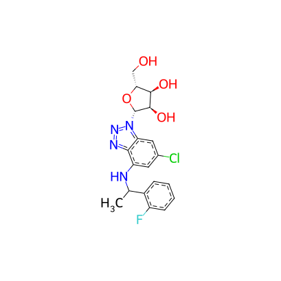 CC(Nc1cc(Cl)cc2c1nnn2[C@@H]1O[C@H](CO)[C@@H](O)[C@H]1O)c1ccccc1F